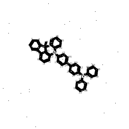 CC1(C)c2ccccc2-c2cccc(N(c3c#cccc3)c3ccc(-c4ccc(N(c5ccccc5)c5ccccc5)cc4)cc3)c21